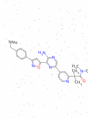 CNCc1ccc(-c2cc(-c3nc(-c4ccnc(C(C)(C)C(=O)N(C)C)c4)cnc3N)on2)cc1